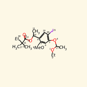 CCOC(C)Oc1cc(OC)c(C(C)OC(=O)C(C)(C)CC)cc1I